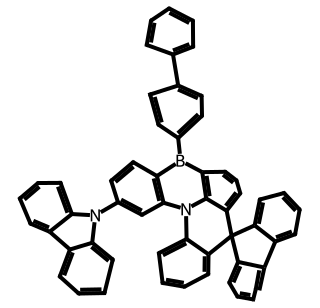 c1ccc(-c2ccc(B3c4ccc(-n5c6ccccc6c6ccccc65)cc4N4c5ccccc5C5(c6ccccc6-c6ccccc65)c5cccc3c54)cc2)cc1